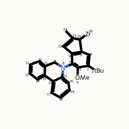 COc1c(C(C)(C)C)cc2c(c1N1Cc3ccccc3-c3ccccc31)C=C(C)[CH]2[Zr]